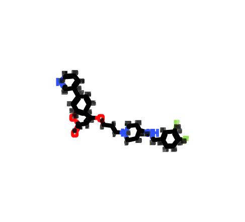 O=c1cc(OCCCN2CCC(NCc3ccc(F)c(F)c3)CC2)c2ccc(-c3cccnc3)cc2o1